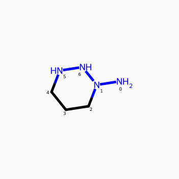 NN1CCCNN1